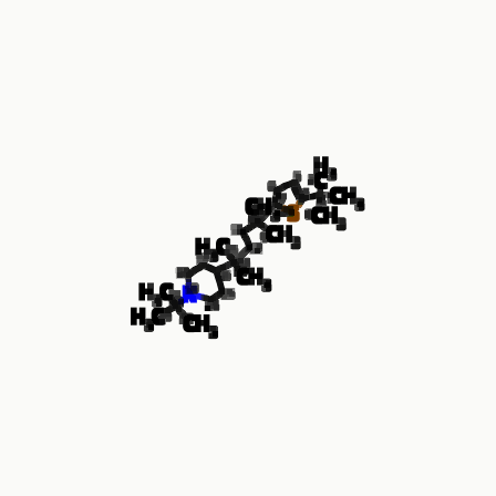 CC(C)(C)c1ccc(C(C)(C)CCC(C)(C)C2CCN(C(C)(C)C)CC2)s1